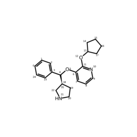 c1ccc(C(Oc2cccnc2OC2CCCC2)[C@H]2CCNC2)cc1